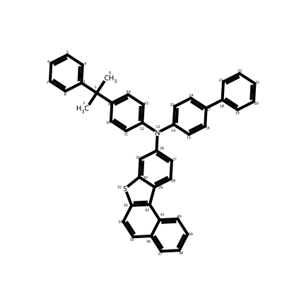 CC(C)(c1ccccc1)c1ccc(N(c2ccc(-c3ccccc3)cc2)c2ccc3c(c2)sc2ccc4ccccc4c23)cc1